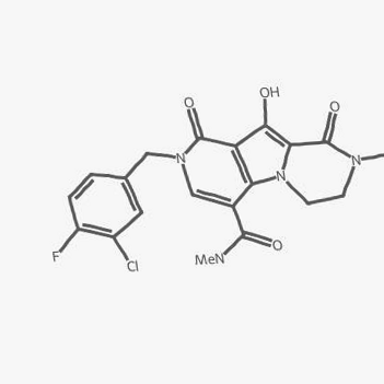 CNC(=O)c1cn(Cc2ccc(F)c(Cl)c2)c(=O)c2c(O)c3n(c12)CCN(C)C3=O